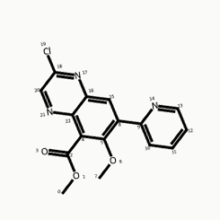 COC(=O)c1c(OC)c(-c2ccccn2)cc2nc(Cl)cnc12